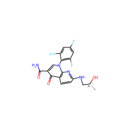 C[C@@H](O)CNc1ccc2c(=O)c(C(N)=O)cn(-c3c(F)cc(F)cc3F)c2n1